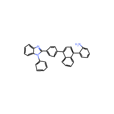 Nc1ccccc1-c1ccc(-c2ccc(-c3nc4ccccc4n3-c3ccccc3)cc2)c2ccccc12